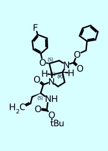 C=CC[C@H](NC(=O)OC(C)(C)C)C(=O)N1CC[C@@H]2[C@H]1[C@@H](Oc1ccc(F)cc1)CN2C(=O)OCc1ccccc1